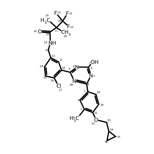 Cc1cc(-c2nc(O)nc(-c3cc(CNC(=O)C(C)(C)C(F)(F)F)ccc3Cl)n2)ccc1OCC1CC1